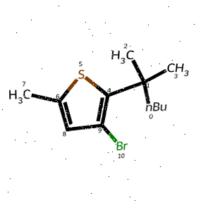 CCCCC(C)(C)c1sc(C)cc1Br